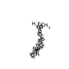 CC(C)OC(=O)COc1ccc(C(=O)CN2C=C3C=CC(C=NNC(=O)OCc4ccccc4)C(=O)C3C2)cc1